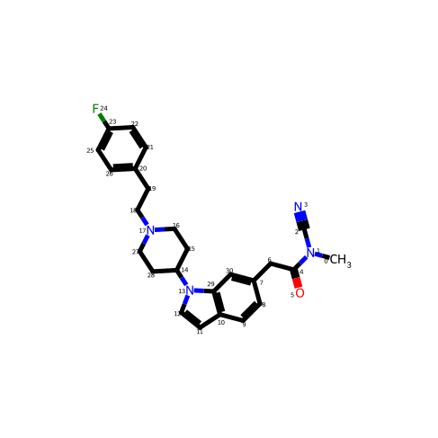 CN(C#N)C(=O)Cc1ccc2ccn(C3CCN(CCc4ccc(F)cc4)CC3)c2c1